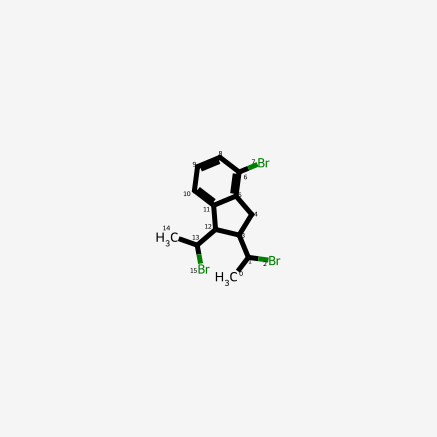 CC(Br)C1Cc2c(Br)cccc2C1C(C)Br